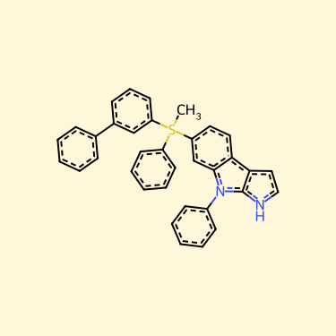 CS(c1ccccc1)(c1cccc(-c2ccccc2)c1)c1ccc2c3cc[nH]c3n(-c3ccccc3)c2c1